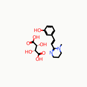 CN1CCCN=C1/C=C/c1cccc(O)c1.O=C(O)[C@H](O)[C@@H](O)C(=O)O